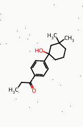 CCC(=O)c1ccc(C2(O)CCCC(C)(C)C2)cc1